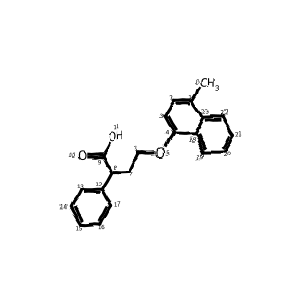 Cc1ccc(OCCC(C(=O)O)c2ccccc2)c2ccccc12